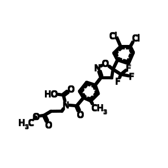 COC(=O)CCN(C(=O)O)C(=O)c1ccc(C2=NOC(c3ccc(Cl)c(Cl)c3)(C(F)(F)F)C2)cc1C